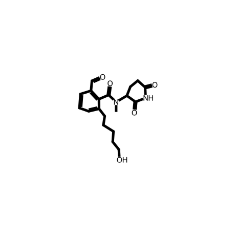 CN(C(=O)c1c(C=O)cccc1CCCCCO)C1CCC(=O)NC1=O